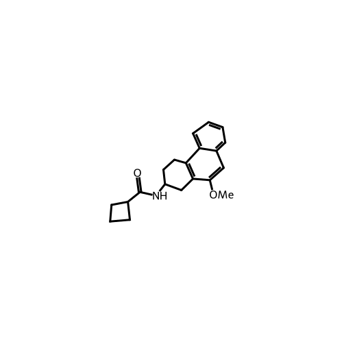 COc1cc2ccccc2c2c1CC(NC(=O)C1CCC1)CC2